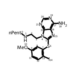 CCCCCNCCn1c(Sc2cc(OC)ccc2I)nc2c(N)ncnc21